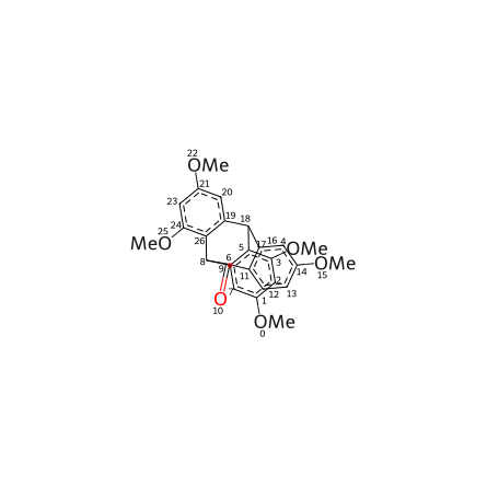 COc1cc(OC)c2c(c1)C1C(=O)c3ccc(OC)cc3C2c2cc(OC)cc(OC)c21